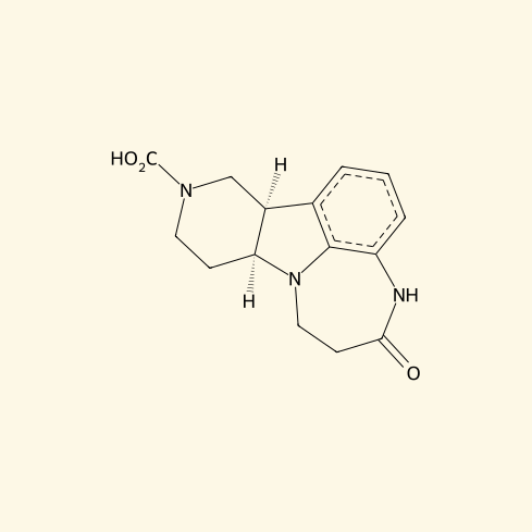 O=C1CCN2c3c(cccc3[C@@H]3CN(C(=O)O)CC[C@@H]32)N1